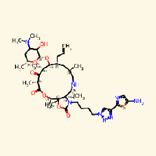 C=CC[C@H]1C[C@@H](C)CN[C@H](C)[C@H]2N(CCCCn3cc(-c4ncc(N)s4)nn3)C(=O)O[C@]2(C)[C@@H](CC)OC(=O)[C@H](C)C(=O)[C@H](C)[C@H]1O[C@@H]1O[C@H](C)CC(N(C)C)C1O